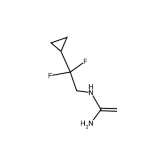 C=C(N)NCC(F)(F)C1CC1